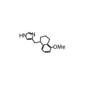 COc1cccc2c1CCCC2Cc1c[nH]cn1